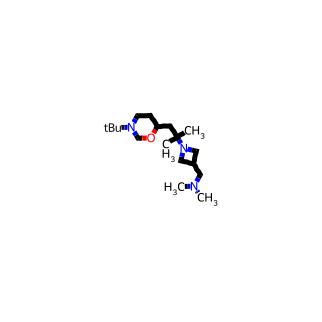 CN(C)CC1CN(C(C)(C)CC2CCN(C(C)(C)C)CO2)C1